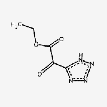 CCOC(=O)C(=O)c1nnn[nH]1